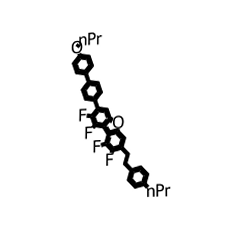 CCCOc1ccc(-c2ccc(-c3cc4oc5cc(CCc6ccc(CCC)cc6)c(F)c(F)c5c4c(F)c3F)cc2)cc1